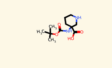 CC(C)(C)OC(=O)NC1(C(=O)O)CCCNC1